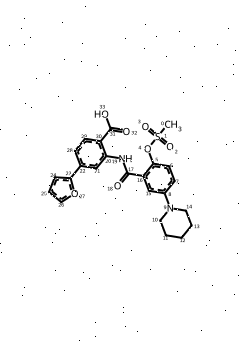 CS(=O)(=O)Oc1ccc(N2CCCCC2)cc1C(=O)Nc1cc(-c2ccco2)ccc1C(=O)O